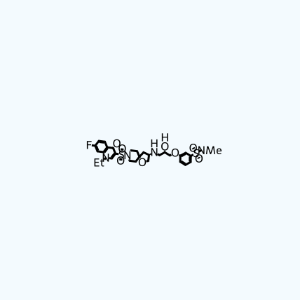 CCn1cc(S(=O)(=O)N2CCC3(CC2)C[C@@H](NC[C@H](O)COc2cccc(S(=O)(=O)NC)c2)CO3)c(=O)c2ccc(F)cc21